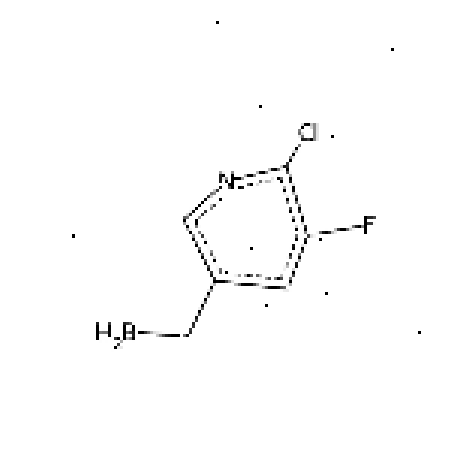 BCc1cnc(Cl)c(F)c1